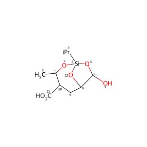 CC1O[Si]2(C(C)C)OC(O)C(CC1C(=O)O)O2